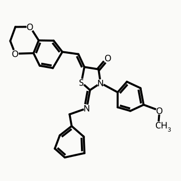 COc1ccc(N2C(=O)/C(=C/c3ccc4c(c3)OCCO4)S/C2=N\Cc2ccccc2)cc1